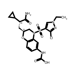 CCn1cc(S(=O)(=O)N2C[C@H](C[C@@H](C(N)=O)C3CC3)Oc3ccc(NC(=O)O)cc32)c(Cl)n1